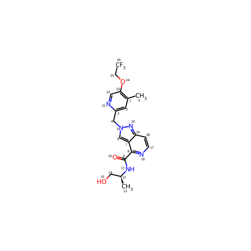 Cc1cc(Cn2cc3c(C(=O)N[C@@H](C)CO)nccc3n2)ncc1OCC(F)(F)F